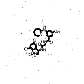 O=C(O)CC(NC(=O)CNC(=O)c1cc(O)cc(NC2=NCCCCC2)c1)c1cc(Cl)cc(Cl)c1O